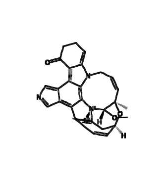 CN[N@@+]12C3=C4C=C[C@@H](C3)O[C@](C)(/C=C\Cn3c5c(c6c7c(c4c1c63)C=NC=7)C(=O)CCC=5)[C@@H]2OC